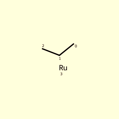 CCC.[Ru]